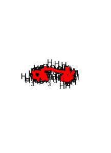 CC(C)C[C@H](NC(=O)[C@H](CS)NC(=O)[C@H](CO)NC(=O)[C@H](CC(=O)O)NC(=O)[C@@H](NC(=O)[C@@H](NC(=O)[C@H](CS)NC(=O)[C@H](C)N)[C@@H](C)O)C(C)C)C(=O)N[C@H](C(=O)N[C@@H](CS)C(=O)NCC(=O)NCC(=O)NCC(=O)NCC(=O)NCC(=O)N[C@@H](Cc1c[nH]cn1)C(=O)N[C@@H](Cc1c[nH]cn1)C(=O)N[C@@H](Cc1c[nH]cn1)C(=O)N[C@@H](Cc1c[nH]cn1)C(=O)N[C@@H](Cc1c[nH]cn1)C(=O)N[C@@H](Cc1c[nH]cn1)C(=O)O)[C@@H](C)O